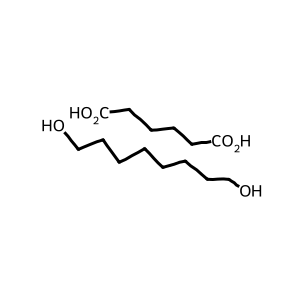 O=C(O)CCCCC(=O)O.OCCCCCCCCO